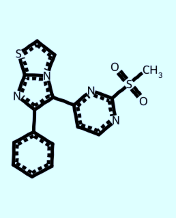 CS(=O)(=O)c1nccc(-c2c(-c3ccccc3)nc3sccn23)n1